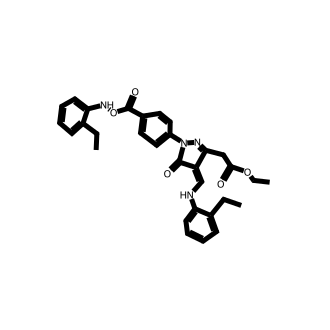 CCOC(=O)CC1=NN(c2ccc(C(=O)ONc3ccccc3CC)cc2)C(=O)C1=CNc1ccccc1CC